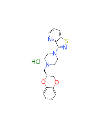 Cl.c1ccc2c(c1)OC[C@H](CN1CCN(c3nsc4cccnc34)CC1)O2